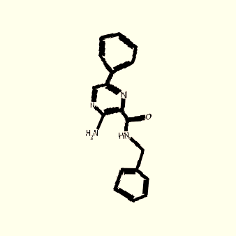 Nc1ncc(-c2ccccc2)nc1C(=O)NCc1ccccc1